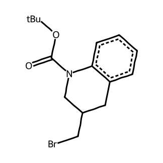 CC(C)(C)OC(=O)N1CC(CBr)Cc2ccccc21